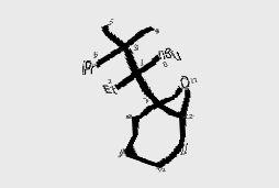 CCCCC(CC)(C(C)(C)C(C)C)C12CCCCC1O2